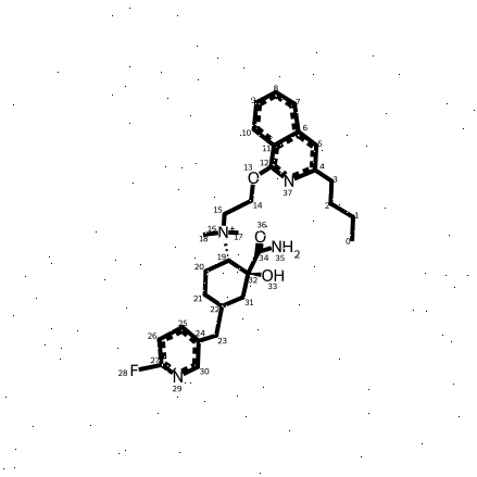 CCCCc1cc2ccccc2c(OCC[N+](C)(C)[C@H]2CCC(Cc3ccc(F)nc3)C[C@@]2(O)C(N)=O)n1